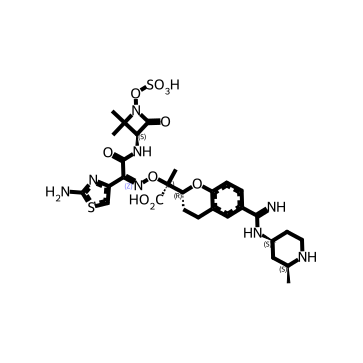 C[C@H]1C[C@@H](NC(=N)c2ccc3c(c2)CC[C@H]([C@](C)(O/N=C(\C(=O)N[C@@H]2C(=O)N(OS(=O)(=O)O)C2(C)C)c2csc(N)n2)C(=O)O)O3)CCN1